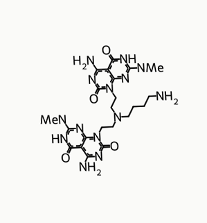 CNc1nc2c(c(N)nc(=O)n2CCN(CCCCN)CCn2c(=O)nc(N)c3c(=O)[nH]c(NC)nc32)c(=O)[nH]1